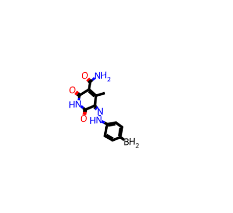 Bc1ccc(N/N=C2\C(=O)NC(=O)C(C(N)=O)=C2C)cc1